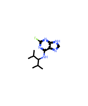 CC(C)C(Nc1nc(F)nc2[nH]cnc12)C(C)C